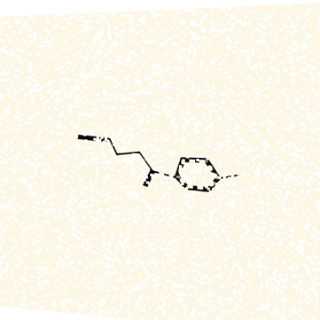 C=CCCC(=O)c1ccc(Cl)cc1